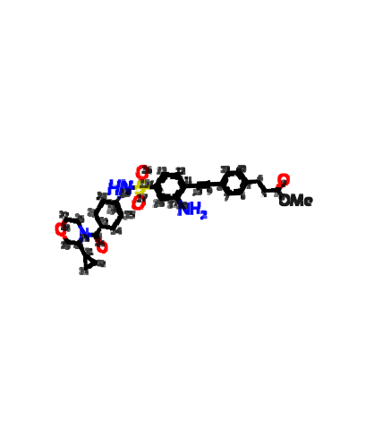 COC(=O)CCc1ccc(C#Cc2ccc(S(=O)(=O)N[C@H]3CC[C@H](C(=O)N4CCOCC4C4CC4)CC3)cc2N)cc1